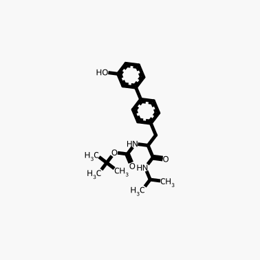 CC(C)NC(=O)C(Cc1ccc(-c2cccc(O)c2)cc1)NC(=O)OC(C)(C)C